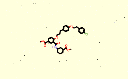 COC(=O)c1ccc(OCCCc2ccc(OCCc3ccc(Cl)cc3)cc2)c(C(=O)NC2CCCC(C(=O)OC)C2)c1